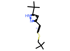 CC(C)(C)CS/C=C/c1cc(C(C)(C)C)[nH]n1